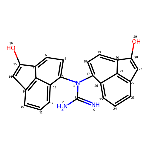 N=C(N)N(c1ccc2c3c(cccc13)C=C2O)c1ccc2c3c(cccc13)C=C2O